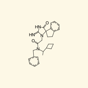 CC(C1CCC1)N(Cc1ccccc1)C(=O)CN1C(=N)NC(=O)C12CCc1ccccc12